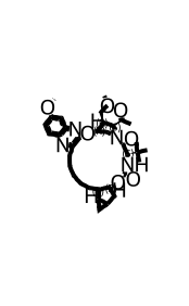 COC[C@@H]1[C@@H]2CN(C(=O)[C@H](C(C)(C)C)NC(=O)O[C@@H]3CC4CC4[C@H]3CCCCCc3nc4ccc(OC)cc4nc3O2)[C@@H]1C(C)=O